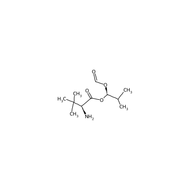 CC(C)[C@H](OC=O)OC(=O)[C@@H](N)C(C)(C)C